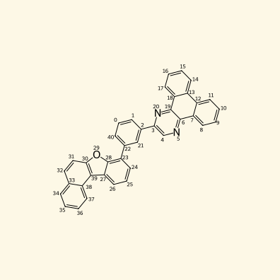 c1cc(-c2cnc3c4ccccc4c4ccccc4c3n2)cc(-c2cccc3c2oc2ccc4ccccc4c23)c1